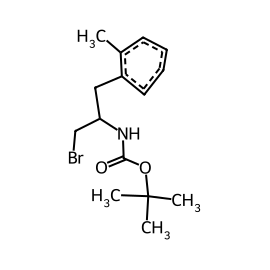 Cc1ccccc1CC(CBr)NC(=O)OC(C)(C)C